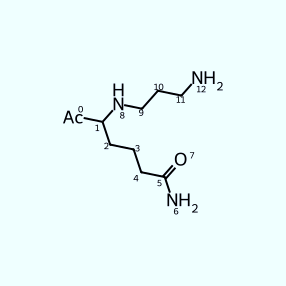 CC(=O)C(CCCC(N)=O)NCCCN